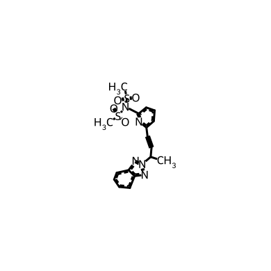 CC(C#Cc1cccc(N(S(C)(=O)=O)S(C)(=O)=O)n1)n1nc2ccccc2n1